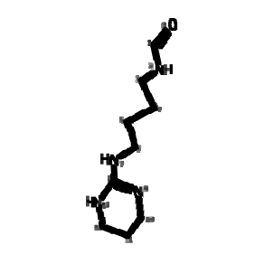 O=[C]NCCCCNC1=NCCCN1